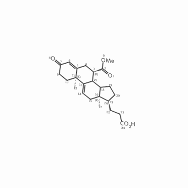 COC(=O)[C@@H]1CC2=CC(=O)CC[C@]2(C)C2=CC[C@@]3(C)C(CC[C@H]3CCC(=O)O)C21